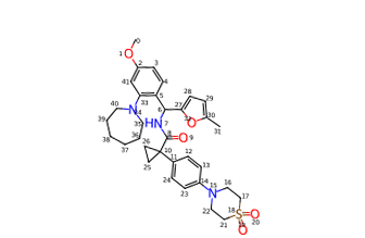 COc1ccc(C(NC(=O)C2(c3ccc(N4CCS(=O)(=O)CC4)cc3)CC2)c2ccc(C)o2)c(N2CCCCCC2)c1